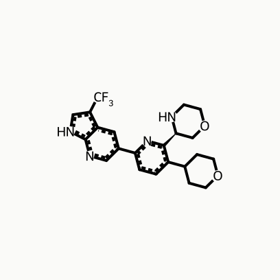 FC(F)(F)c1c[nH]c2ncc(-c3ccc(C4CCOCC4)c([C@@H]4COCCN4)n3)cc12